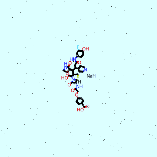 O=C(CC(C(=C1CCNC1=O)C1=C(C(=O)O)N2C(=O)[C@@H](NC(=O)COc3ccc(C(=O)O)cc3)[C@H]2SC1)c1ccncc1)Nc1ccc(O)c(F)c1.[NaH]